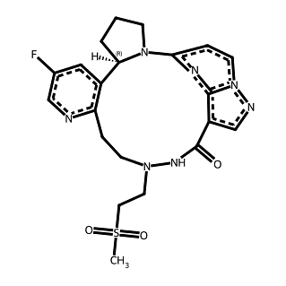 CS(=O)(=O)CCN1CCc2ncc(F)cc2[C@H]2CCCN2c2ccn3ncc(c3n2)C(=O)N1